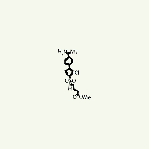 COC(=O)CCCNS(=O)(=O)c1ccc(-c2ccc(C(=N)N)cc2)cc1.Cl